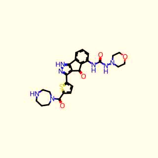 O=C(Nc1cccc2c1C(=O)c1c(-c3ccc(C(=O)N4CCCNCC4)s3)n[nH]c1-2)NN1CCOCC1